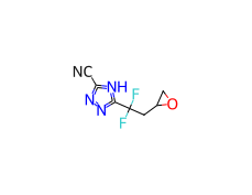 N#Cc1nnc(C(F)(F)CC2CO2)[nH]1